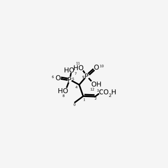 CC(=CC(=O)O)C(P(=O)(O)O)P(=O)(O)O